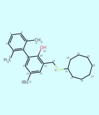 Cc1cccc(C)c1-c1cc(C(C)(C)C)cc(CSC2CCCCCCC2)c1O